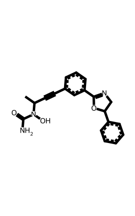 CC(C#Cc1cccc(C2=NCC(c3ccccc3)O2)c1)N(O)C(N)=O